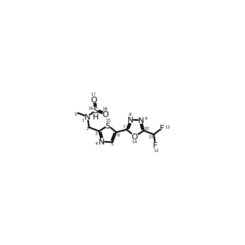 CN(Cc1ncc(-c2nnc(C(F)F)o2)s1)[SH](=O)=O